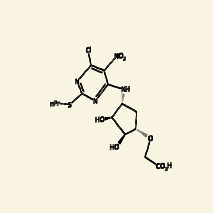 CCCSc1nc(Cl)c([N+](=O)[O-])c(N[C@@H]2C[C@H](OCC(=O)O)[C@@H](O)[C@H]2O)n1